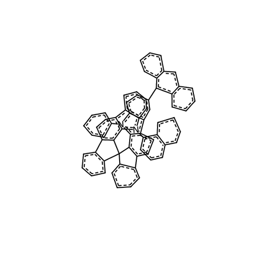 c1ccc(-n2c3ccc(-c4c5ccccc5cc5ccccc45)cc3c3ccc4c(c32)C2(c3ccccc3-4)c3ccccc3-c3ccc4c5ccccc5n(-c5cccc6ccccc56)c4c32)cc1